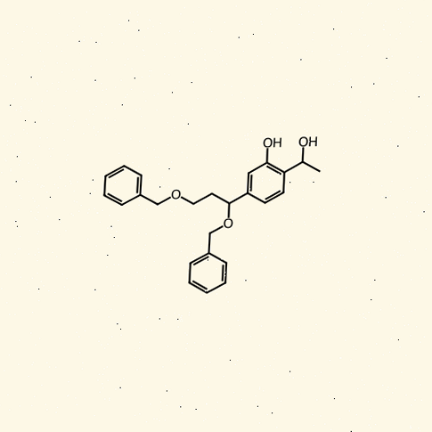 CC(O)c1ccc(C(CCOCc2ccccc2)OCc2ccccc2)cc1O